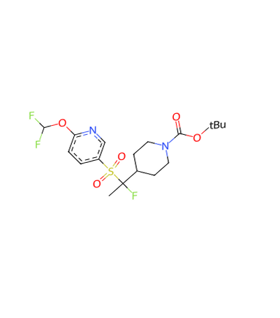 CC(C)(C)OC(=O)N1CCC(C(C)(F)S(=O)(=O)c2ccc(OC(F)F)nc2)CC1